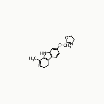 C1=NCCO1.COc1ccc2c3c([nH]c2c1)C(C)=NCC3